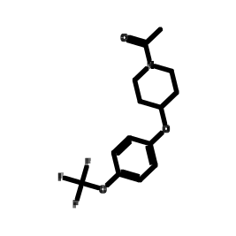 CC(=O)N1CCC(Oc2ccc(OC(F)(F)F)cc2)CC1